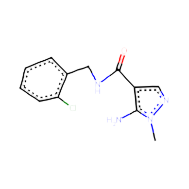 Cn1ncc(C(=O)NCc2ccccc2Cl)c1N